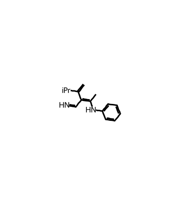 C=C(/C(C=N)=C(\C)Nc1ccccc1)C(C)C